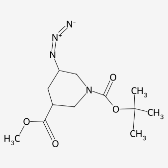 COC(=O)C1CC(N=[N+]=[N-])CN(C(=O)OC(C)(C)C)C1